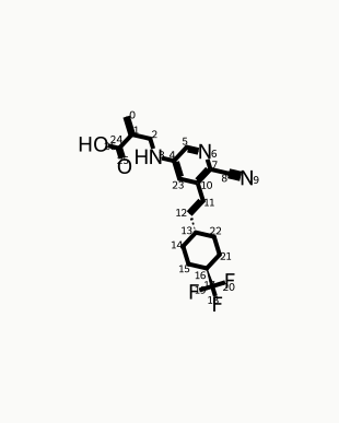 C=C(CNc1cnc(C#N)c(/C=C/[C@H]2CC[C@H](C(F)(F)F)CC2)c1)C(=O)O